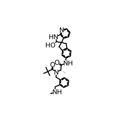 CNCc1ccccc1CN(C(=O)C(C)(C)C)[C@@H](C)C(=O)Nc1ccc2c(c1)CC1(C2)c2cccnc2NC1O